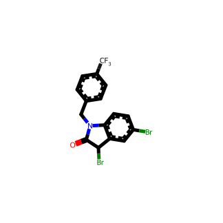 O=C1C(Br)c2cc(Br)ccc2N1Cc1ccc(C(F)(F)F)cc1